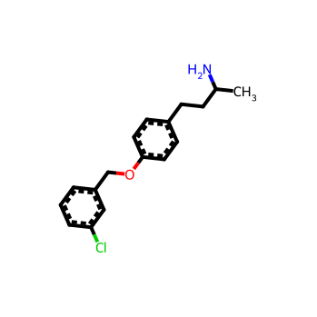 CC(N)CCc1ccc(OCc2cccc(Cl)c2)cc1